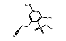 C#CCOc1cc(OC)cc(OC)c1S(=O)(=O)OC(C)C